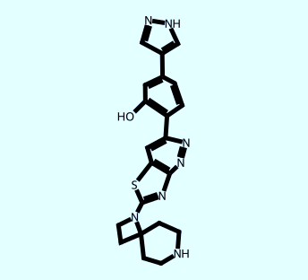 Oc1cc(-c2cn[nH]c2)ccc1-c1cc2sc(N3CCC34CCNCC4)nc2nn1